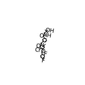 Cc1cc(OCc2ccc(F)cc2F)c(Cl)c(=O)n1Cc1cccc(C(=O)NCC(C)(C)O)c1